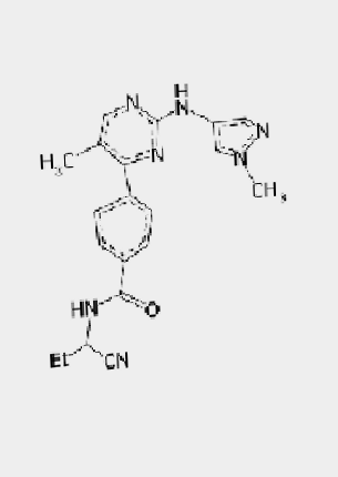 CCC(C#N)NC(=O)c1ccc(-c2nc(Nc3cnn(C)c3)ncc2C)cc1